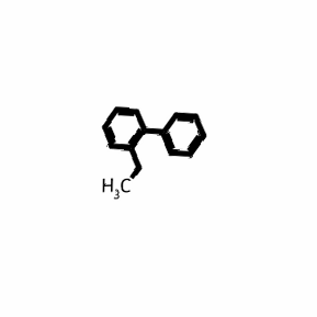 CCc1[c]cccc1-c1ccccc1